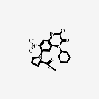 COC(=O)c1cccn1-c1cc2c(cc1[N+](=O)[O-])[nH]c(=O)c(=O)n2C1CCCCC1